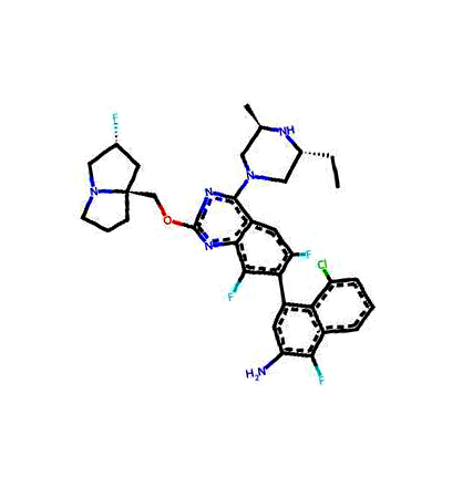 CC[C@@H]1CN(c2nc(OC[C@@]34CCCN3C[C@H](F)C4)nc3c(F)c(-c4cc(N)c(F)c5cccc(Cl)c45)c(F)cc23)C[C@@H](C)N1